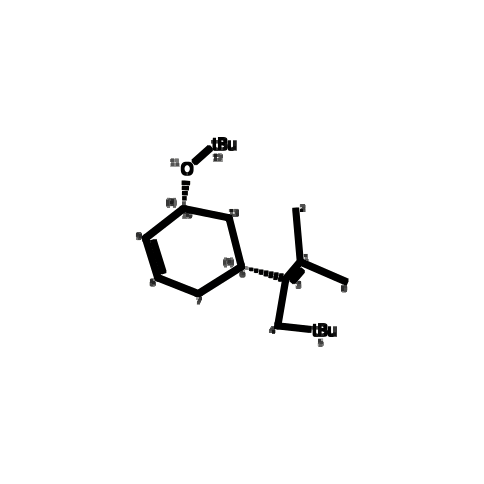 CC(C)=C(CC(C)(C)C)[C@@H]1CC=C[C@H](OC(C)(C)C)C1